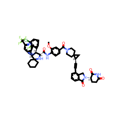 COc1cc(C(=O)N2CCC3(CC2)C[C@H]3C#Cc2cccc3c2CN([C@H]2CCC(=O)NC2=O)C3=O)ccc1NC(=O)[C@@H]1NC2(CCCCC2)[C@@]2(CNc3cc(C(F)(F)F)ncc32)[C@H]1c1cccc(Cl)c1F